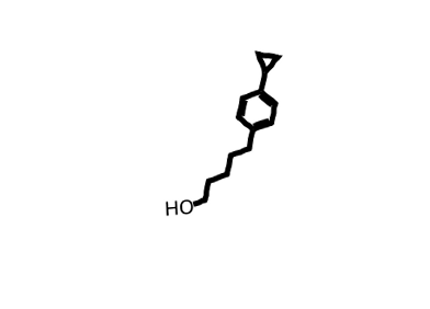 OCCCCCc1ccc(C2CC2)cc1